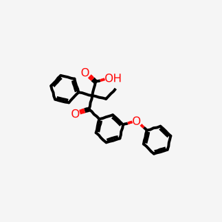 CCC(C(=O)O)(C(=O)c1cccc(Oc2ccccc2)c1)c1ccccc1